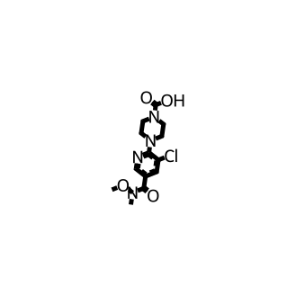 CON(C)C(=O)c1cnc(N2CCN(C(=O)O)CC2)c(Cl)c1